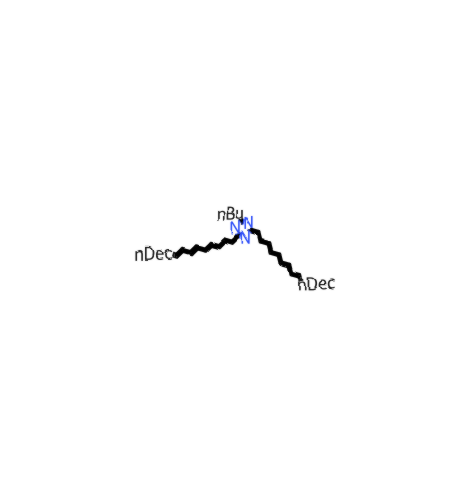 [CH2]CCCc1nc(CCCCCCCCCCCCCCCCCCC)nc(CCCCCCCCCCCCCCCCCCC)n1